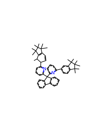 CC1C2=C(C=CC1c1cccc(C3(c4cccc(-c5ccc6c(c5)C(C)(C)C(C)(C)C6(C)C)n4)c4ccccc4-c4ccccc43)n1)C(C)(C)C(C)(C)C2(C)C